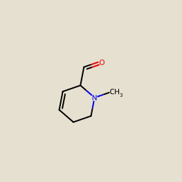 CN1CCC=CC1C=O